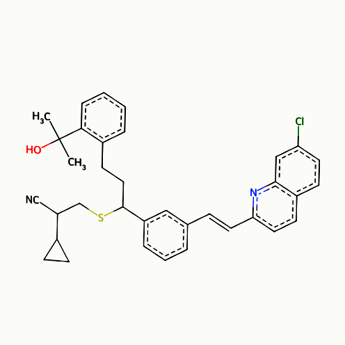 CC(C)(O)c1ccccc1CCC(SCC(C#N)C1CC1)c1cccc(C=Cc2ccc3ccc(Cl)cc3n2)c1